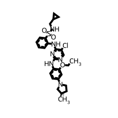 CCOc1cc(N2CC[C@@H](C)C2)ccc1Nc1ncc(Cl)c(Nc2ccccc2S(=O)(=O)NCC2CC2)n1